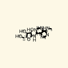 CNc1ncnc2c(N[C@@H]3O[C@H](CO)[C@@H](O)[C@H]3O)ncnc12